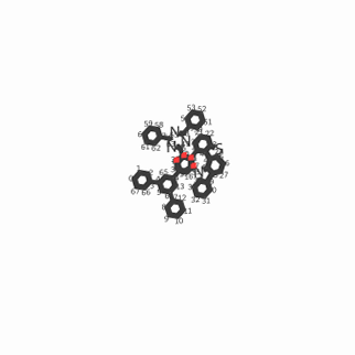 c1ccc(-c2cc(-c3ccccc3)cc(-c3ccc(-c4cccc5sc6ccc7c8ccccc8n(-c8ccccc8)c7c6c45)c(-c4nc(-c5ccccc5)nc(-c5ccccc5)n4)c3)c2)cc1